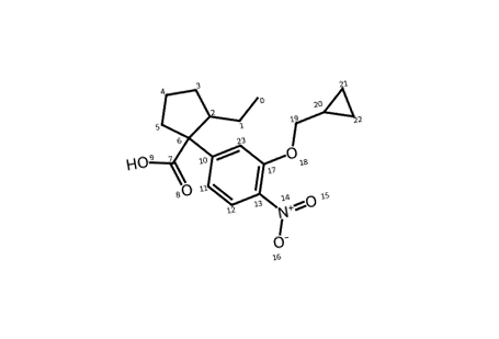 CCC1CCCC1(C(=O)O)c1ccc([N+](=O)[O-])c(OCC2CC2)c1